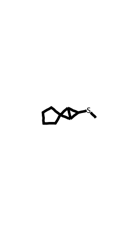 CSC1C2C1C21CCCC1